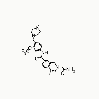 C[C@H]1CN(CC(N)=O)Cc2cc(C(=O)Nc3ccc(CN4CCN(C)CC4)c(OC(F)(F)F)c3)ccc21